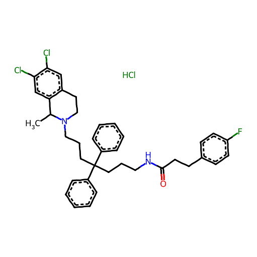 CC1c2cc(Cl)c(Cl)cc2CCN1CCCC(CCCNC(=O)CCc1ccc(F)cc1)(c1ccccc1)c1ccccc1.Cl